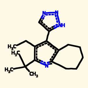 CCc1c(C(C)(C)C)nc2c(c1-c1cnn[nH]1)CCCCC2